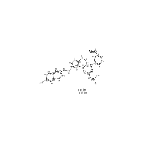 COc1cccc(O[C@H]2COc3ccc(OCc4ccc5cc(F)ccc5n4)cc3[C@H]2OC(=O)CN(C)C)c1.Cl.Cl